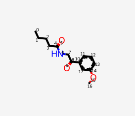 CCCCC(=O)NCC(=O)c1cccc(OC)c1